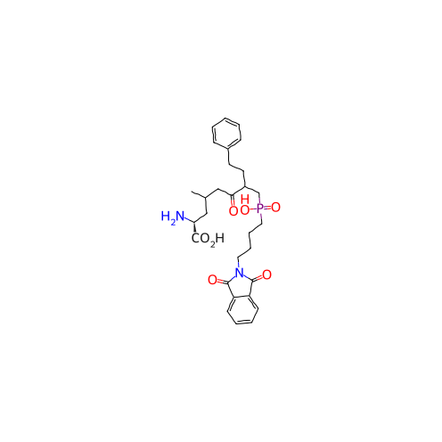 CC(CC(=O)C(CCc1ccccc1)CP(=O)(O)CCCCN1C(=O)c2ccccc2C1=O)C[C@H](N)C(=O)O